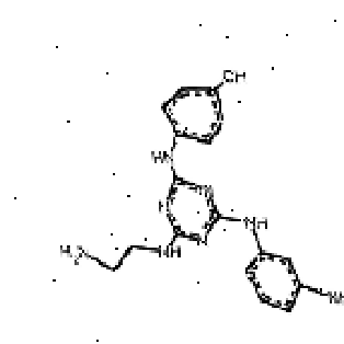 NCCNc1nc(Nc2ccc(O)cc2)nc(Nc2cccc(N)c2)n1